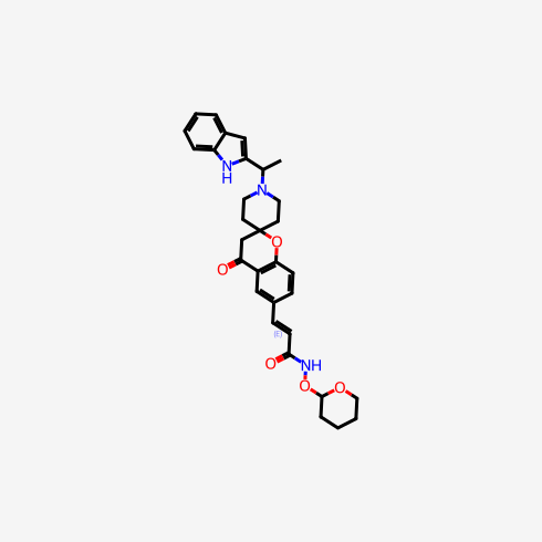 CC(c1cc2ccccc2[nH]1)N1CCC2(CC1)CC(=O)c1cc(/C=C/C(=O)NOC3CCCCO3)ccc1O2